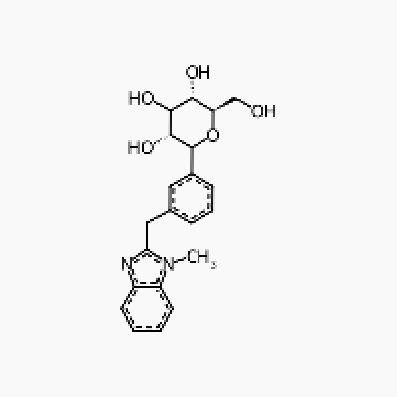 Cn1c(Cc2cccc(C3O[C@H](CO)[C@@H](O)C(O)[C@H]3O)c2)nc2ccccc21